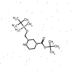 CC(C)(C)OC(=O)N1CCN[C@@H](CO[Si](C)(C)C(C)(C)C)C1